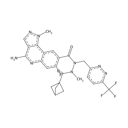 CN(C(=O)C12CC(C1)C2)N(Cc1ccc(C(F)(F)F)nn1)C(=O)c1cc2c(cc1F)nc(N)c1cnn(C)c12